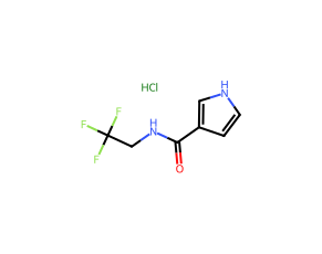 Cl.O=C(NCC(F)(F)F)c1cc[nH]c1